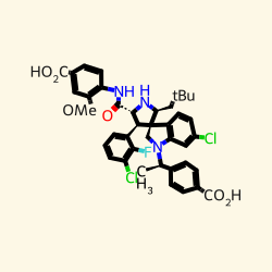 COc1cc(C(=O)O)ccc1NC(=O)[C@@H]1N[C@@H](CC(C)(C)C)[C@@]2(CN([C@H](C)c3ccc(C(=O)O)cc3)c3cc(Cl)ccc32)[C@H]1c1cccc(Cl)c1F